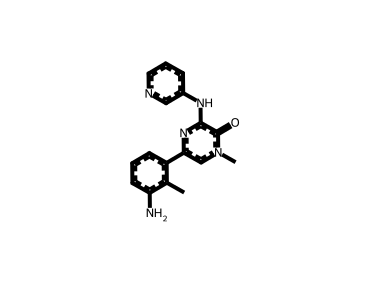 Cc1c(N)cccc1-c1cn(C)c(=O)c(Nc2cccnc2)n1